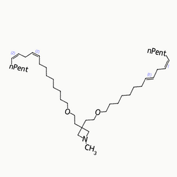 CCCCC/C=C\C/C=C\CCCCCCCCOCCC1(CCOCCCCCCC/C=C/C/C=C\CCCCC)CN(C)C1